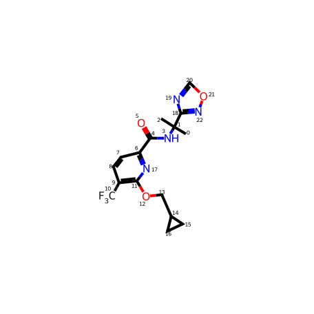 CC(C)(NC(=O)c1ccc(C(F)(F)F)c(OCC2CC2)n1)c1ncon1